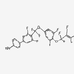 CCCc1ccc(-c2cc(F)c(C(F)(F)Oc3cc(F)c(OC(F)(F)C(F)=C(F)F)c(F)c3)c(F)c2)cc1